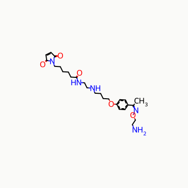 C/C(=N/OCCN)c1ccc(OCCCCNCCNC(=O)CCCCCN2C(=O)C=CC2=O)cc1